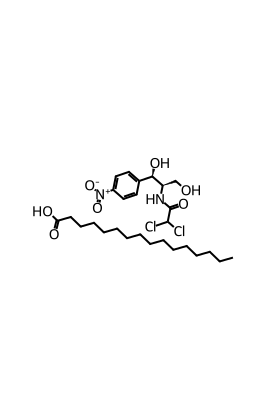 CCCCCCCCCCCCCCCC(=O)O.O=C(N[C@H](CO)[C@H](O)c1ccc([N+](=O)[O-])cc1)C(Cl)Cl